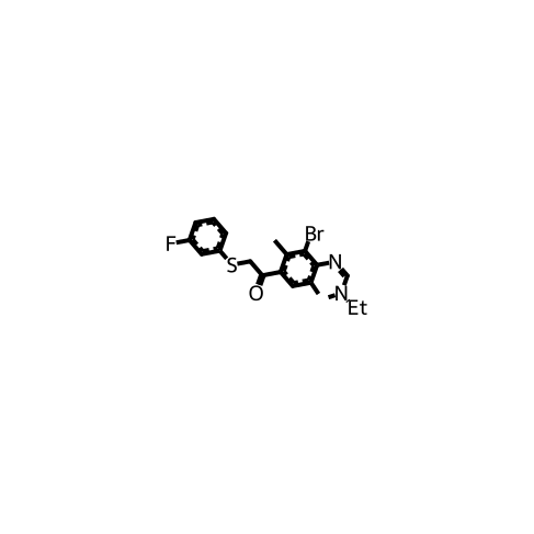 CCN(C)/C=N\c1c(C)cc(C(=O)CSc2cccc(F)c2)c(C)c1Br